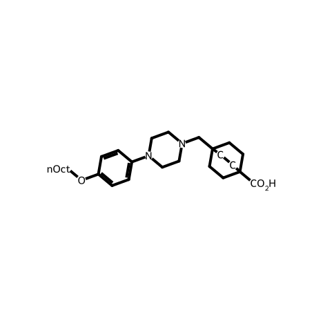 CCCCCCCCOc1ccc(N2CCN(CC34CCC(C(=O)O)(CC3)CC4)CC2)cc1